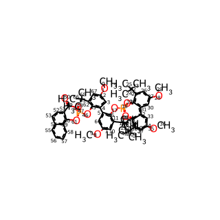 COc1cc(-c2cc(OC)cc(C(C)(C)C)c2Op2oc3c(C(C)(C)C)cc(OC)cc3c3cc(OC)cc(C(C)(C)C)c3o2)c(OP2OC(=O)c3ccc4ccccc4c3O2)c(C(C)(C)C)c1